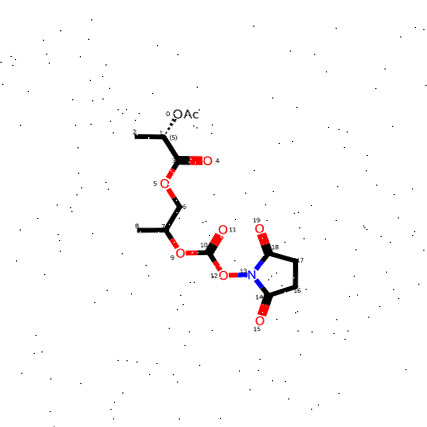 CC(=O)O[C@@H](C)C(=O)OCC(C)OC(=O)ON1C(=O)CCC1=O